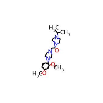 CCC(C)N1CCN(C(=O)CN2CCN(c3ccc(OC)cc3OC)CC2)CC1